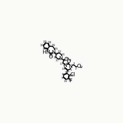 COCCN1CC(c2cccc(F)c2Cl)=CN(CC(=O)N2CCC(N3CCc4ccccc4NC3=O)CC2)C1=O